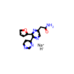 NC(=O)Cc1cnc(-c2ccncn2)c(-c2ccco2)n1.[H-].[Na+]